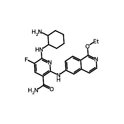 CCOc1nccc2cc(Nc3nc(NC4CCCCC4N)c(F)cc3C(N)=O)ccc12